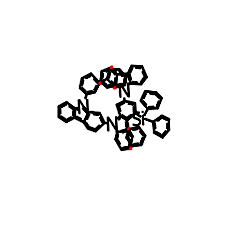 c1ccc(-c2cccc(-n3c4ccccc4c4ccc(-n5c6ccccc6c6c([Si](c7ccccc7)(c7ccccc7)c7ccccc7)cc(-n7c8ccccc8c8ccccc87)cc65)cc43)c2)cc1